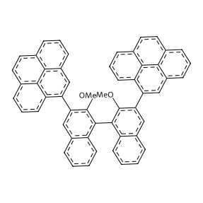 COc1c(-c2cc3cccc4ccc5cccc2c5c43)cc2ccccc2c1-c1c(OC)c(-c2cc3cccc4ccc5cccc2c5c43)cc2ccccc12